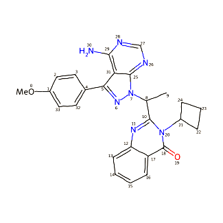 COc1ccc(-c2nn(C(C)c3nc4ccccc4c(=O)n3C3CCC3)c3ncnc(N)c23)cc1